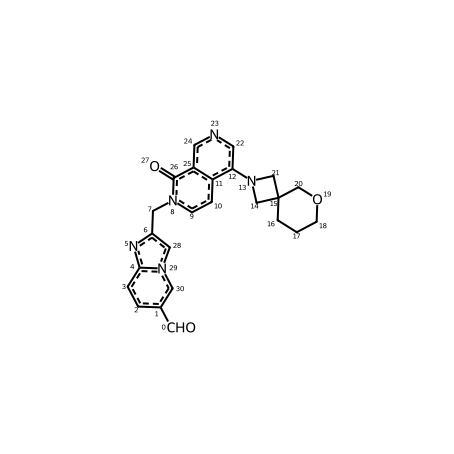 O=Cc1ccc2nc(Cn3ccc4c(N5CC6(CCCOC6)C5)cncc4c3=O)cn2c1